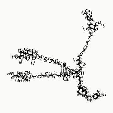 C[C@@H]1O[C@H](COCCOCCOCCOCCNC(=O)CCOCC(COCCC(=O)NCCOCCOCCOCCOC[C@H]2O[C@@H](C)C(n3cc(C(=O)O)nn3)[C@@H](O)[C@H]2O)(COCCC(=O)NCCOCCOCCOCCOC[C@H]2O[C@@H](C)[C@H](C3C=C(C(=O)O)N=N3)C[C@H]2O)NC(=O)CCCOc2ccc3nc(/C(=C/Nc4ccc(O)c(F)c4)N=N)ccc3c2)[C@H](O)[C@H](O)C1n1cc(C(=O)O)nn1